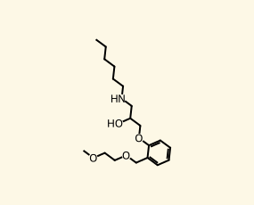 CCCCCCNCC(O)COc1ccccc1COCCOC